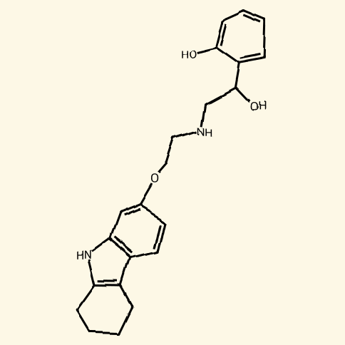 Oc1ccccc1C(O)CNCCOc1ccc2c3c([nH]c2c1)CCCC3